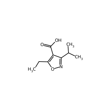 CCc1onc(C(C)C)c1C(=O)O